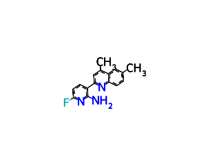 Cc1ccc2nc(-c3ccc(F)nc3N)cc(C)c2c1